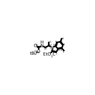 CCOC(=O)c1cc2c(C)cc(C)cc2n1C(C)CNC(=O)OC(C)(C)C